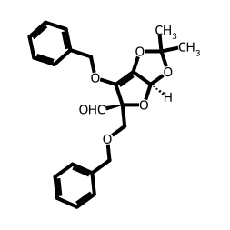 CC1(C)OC2=C(OCc3ccccc3)[C@@](C=O)(COCc3ccccc3)O[C@@H]2O1